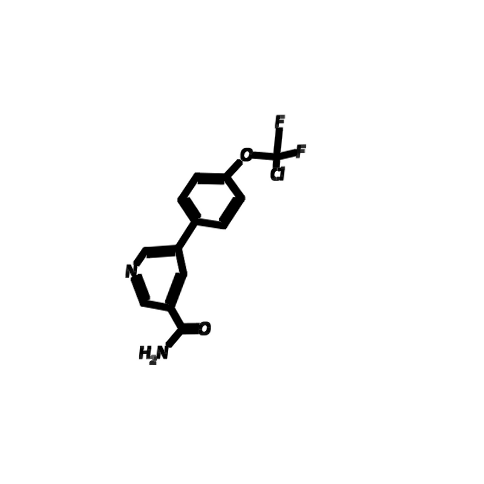 NC(=O)c1cncc(-c2ccc(OC(F)(F)Cl)cc2)c1